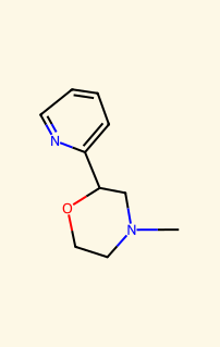 CN1CCOC(c2ccccn2)C1